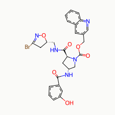 O=C(N[C@@H]1C[C@@H](C(=O)NC[C@@H]2CC(Br)=NO2)N(C(=O)OCc2cnc3ccccc3c2)C1)c1cccc(O)c1